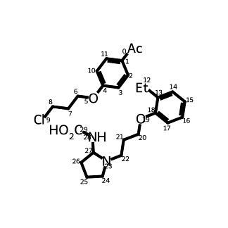 CC(=O)c1ccc(OCCCCl)cc1.CCc1ccccc1OCCCN1CCCC1NC(=O)O